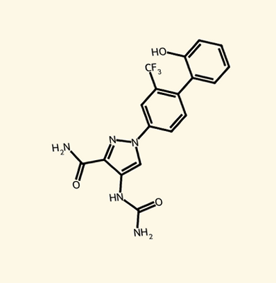 NC(=O)Nc1cn(-c2ccc(-c3ccccc3O)c(C(F)(F)F)c2)nc1C(N)=O